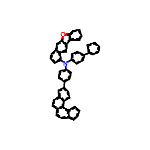 c1ccc(-c2ccc(N(c3ccc(-c4ccc5c(ccc6ccc7ccccc7c65)c4)cc3)c3cccc4cc5oc6ccccc6c5cc34)cc2)cc1